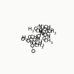 CC1(C)CCN2CCC(C)(C)c3cc(N(c4ccc(-c5cc6c7c(c5)C(C)(C)c5cc(-c8ccccc8)ccc5N7c5ccc(-c7ccccc7)cc5C6(C)C)cc4)c4cc5c6c(c4)C(C)(C)CCN6CCC5(C)C)cc1c32